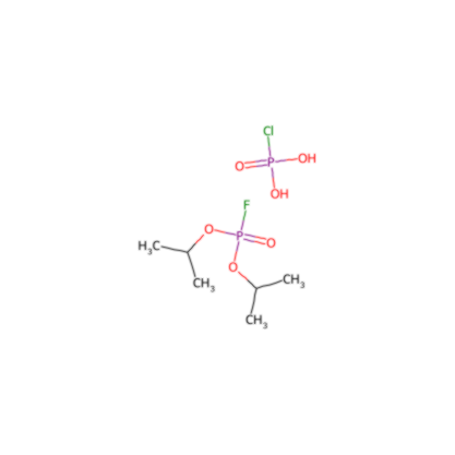 CC(C)OP(=O)(F)OC(C)C.O=P(O)(O)Cl